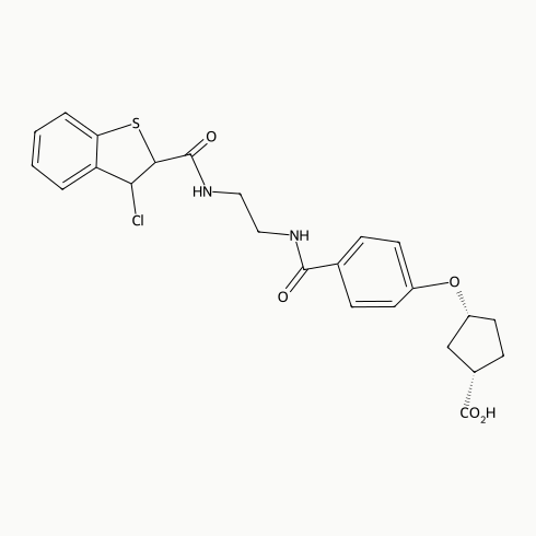 O=C(NCCNC(=O)C1Sc2ccccc2C1Cl)c1ccc(O[C@@H]2CC[C@H](C(=O)O)C2)cc1